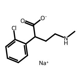 CNCCC(C(=O)[O-])c1ccccc1Cl.[Na+]